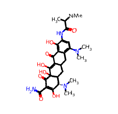 CNC(C)C(=O)Nc1cc(N(C)C)c2c(c1O)C(=O)C1=C(O)C3(O)C(=O)C(C(N)=O)=C(O)[C@@H](N(C)C)C3CC1C2